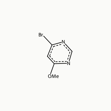 COc1cc(Br)ncn1